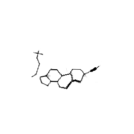 CC(CCC(C)(C)O)[C@H]1CCC2C3CC=C4C[C@](O)(C#CCl)CC[C@@H]4C3CC[C@@]21C